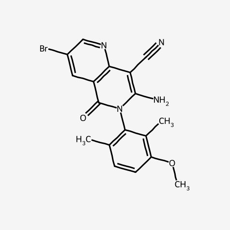 COc1ccc(C)c(-n2c(N)c(C#N)c3ncc(Br)cc3c2=O)c1C